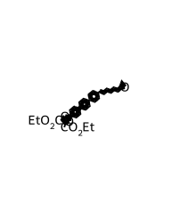 CCOC(=O)[C@@H]1OC(c2ccc(-c3ccc([C@H]4CC[C@H](CCCCCCC5CO5)CC4)cc3)cc2)O[C@H]1C(=O)OCC